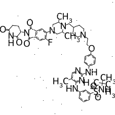 Cc1cnc(Nc2ccc(OCCN3CCC(CN4C(C)CN(c5cc6c(cc5F)C(=O)N(C5CCC(=O)NC5=O)C6=O)CC4C)CC3)cc2)nc1Nc1cccc(S(=O)(=O)NC(C)(C)C)c1